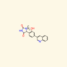 CN1C(=O)NC(=O)C1c1ccc(-c2cnc3ccccc3c2)cc1O